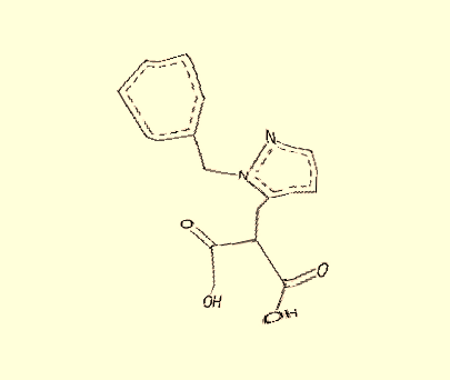 O=C(O)C(C(=O)O)c1ccnn1Cc1ccccc1